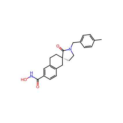 Cc1ccc(CN2CC[C@]3(CCc4cc(C(=O)NO)ccc4C3)C2=O)cc1